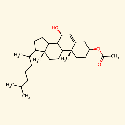 CC(=O)O[C@H]1CC[C@@]2(C)C(=C[C@H](O)C3C2CC[C@@]2(C)C3CC[C@@H]2C(C)CCCC(C)C)C1